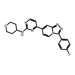 Fc1ccc(-c2nnc3cc(-c4ccnc(NC5CCOCC5)n4)ccn23)cc1